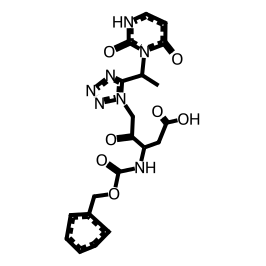 CC(c1nnnn1CC(=O)C(CC(=O)O)NC(=O)OCc1ccccc1)n1c(=O)cc[nH]c1=O